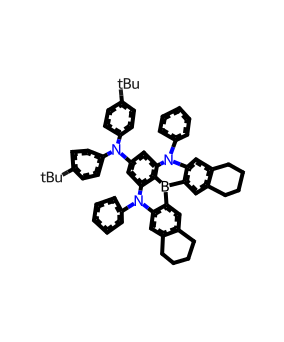 CC(C)(C)c1ccc(N(c2ccc(C(C)(C)C)cc2)c2cc3c4c(c2)N(c2ccccc2)c2cc5c(cc2B4c2cc4c(cc2N3c2ccccc2)CCCC4)CCCC5)cc1